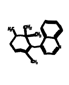 CC1=CCC(C)C(C)(C)C1c1ccnc2ccccc12